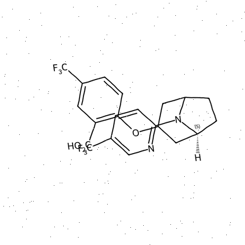 O=C(O)c1cc(C(F)(F)F)ccc1OC1CC2CC[C@@H](C1)N2c1ccc(C(F)(F)F)cn1